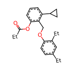 CCC(=O)Oc1cccc(C2CC2)c1COc1ccc(CC)cc1CC